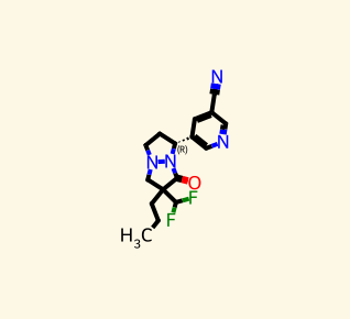 CCCC1(C(F)F)CN2CC[C@H](c3cncc(C#N)c3)N2C1=O